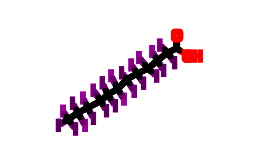 O=C(O)C(I)(I)C(I)(I)C(I)(I)C(I)(I)C(I)(I)C(I)(I)C(I)(I)C(I)(I)C(I)(I)C(I)(I)C(I)(I)I